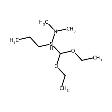 CCC[SiH](C(OCC)OCC)N(C)C